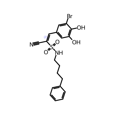 N#C/C(=C/c1cc(O)c(O)c(Br)c1)S(=O)(=O)NCCCCc1ccccc1